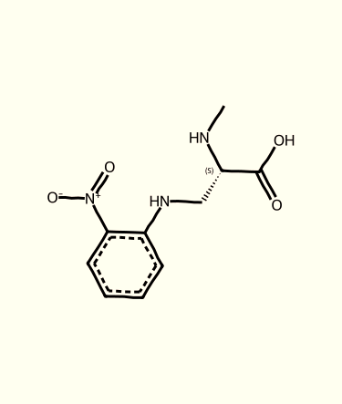 CN[C@@H](CNc1ccccc1[N+](=O)[O-])C(=O)O